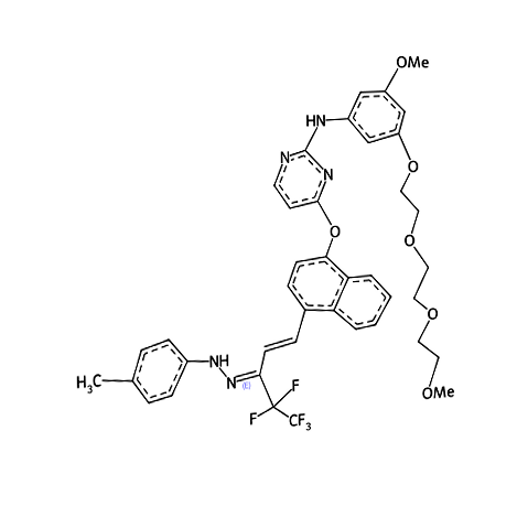 COCCOCCOCCOc1cc(Nc2nccc(Oc3ccc(C=C/C(=N\Nc4ccc(C)cc4)C(F)(F)C(F)(F)F)c4ccccc34)n2)cc(OC)c1